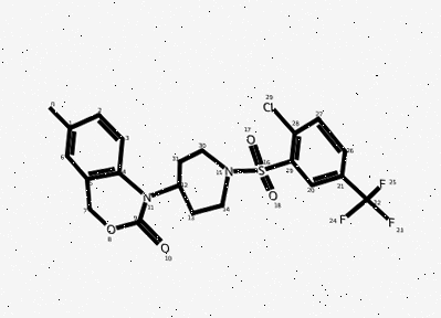 Cc1ccc2c(c1)COC(=O)N2C1CCN(S(=O)(=O)c2cc(C(F)(F)F)ccc2Cl)CC1